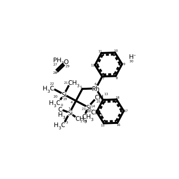 C[Si](C)(C)C([CH2][Rh]([c]1ccccc1)[c]1ccccc1)([Si](C)(C)C)[Si](C)(C)C.P.[C]=O.[H-]